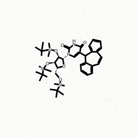 CC(C)(C)[Si](C)(C)OC[C@H]1O[C@@H](n2cc(C3c4ccccc4C=Cc4ccccc43)c(=O)[nH]c2=O)[C@H](O[Si](C)(C)C(C)(C)C)[C@@H]1O[Si](C)(C)C(C)(C)C